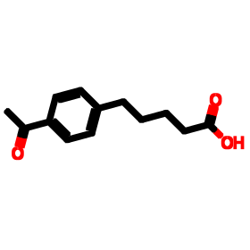 CC(=O)c1ccc(CCCCC(=O)O)cc1